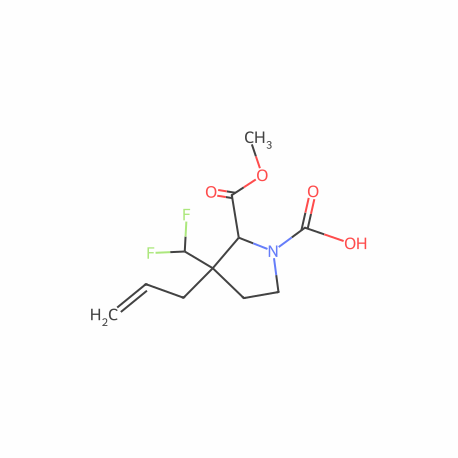 C=CCC1(C(F)F)CCN(C(=O)O)C1C(=O)OC